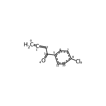 C=C=CC(=O)c1ccc(Cl)cc1